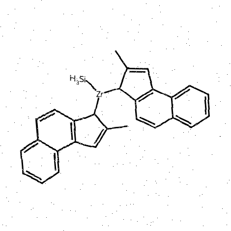 CC1=Cc2c(ccc3ccccc23)[CH]1[Zr]([SiH3])[CH]1C(C)=Cc2c1ccc1ccccc21